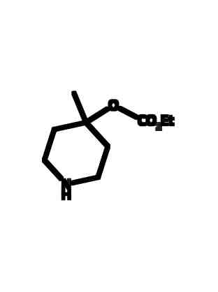 CCOC(=O)OC1(C)CCNCC1